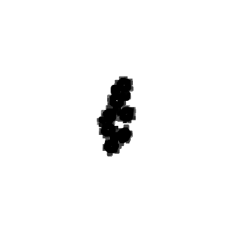 c1ccc(N(c2ccccc2)c2ccc3sc4ccc(N(c5ccccc5)c5ccc6c(c5)Oc5ccccc5O6)cc4c3c2)cc1